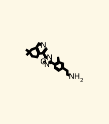 Cc1cc(CCN)ccc1-c1noc(-c2cncc3c2CCC(C)(C)C3)n1